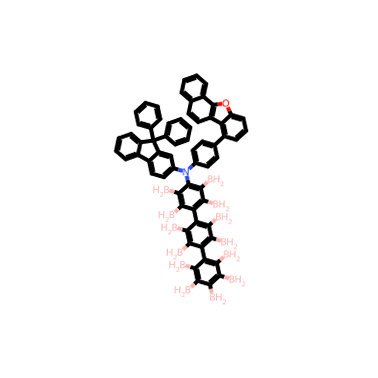 Bc1c(B)c(B)c(-c2c(B)c(B)c(-c3c(B)c(B)c(N(c4ccc(-c5cccc6oc7c8ccccc8ccc7c56)cc4)c4ccc5c(c4)C(c4ccccc4)(c4ccccc4)c4ccccc4-5)c(B)c3B)c(B)c2B)c(B)c1B